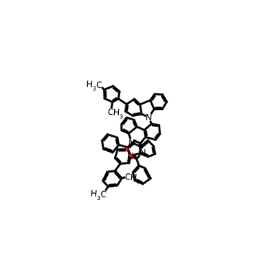 Cc1ccc(-c2ccc3c(c2)c2ccccc2n3-c2ccccc2-c2c(-c3cc(-c4ccccc4)nc(-c4ccccc4)n3)cccc2-n2c3ccccc3c3cc(-c4ccc(C)cc4C)ccc32)c(C)c1